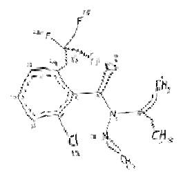 C=NN(C(=C)C)C(=O)c1c(Cl)cccc1C(F)(F)F